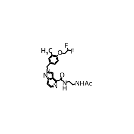 CC(=O)NCCNC(=O)c1nccc2nn(Cc3ccc(OCC(F)F)c(C)c3)cc12